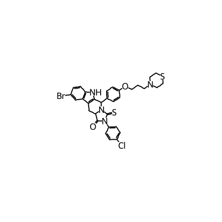 O=C1C2Cc3c([nH]c4ccc(Br)cc34)C(c3ccc(OCCCN4CCSCC4)cc3)N2C(=S)N1c1ccc(Cl)cc1